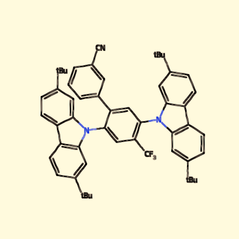 CC(C)(C)c1ccc2c3ccc(C(C)(C)C)cc3n(-c3cc(C(F)(F)F)c(-n4c5cc(C(C)(C)C)ccc5c5ccc(C(C)(C)C)cc54)cc3-c3cccc(C#N)c3)c2c1